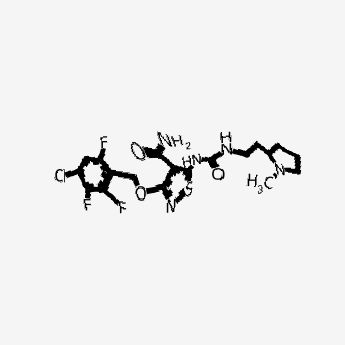 CN1CCCC1CCNC(=O)Nc1snc(OCc2c(F)cc(Cl)c(F)c2F)c1C(N)=O